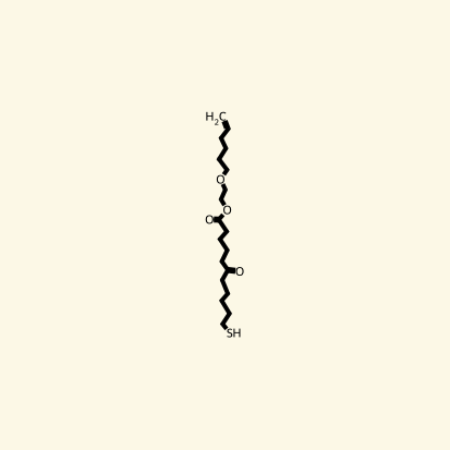 C=CCCCCOCCOC(=O)CCCCC(=O)CCCCCS